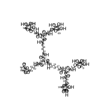 C[C@@H]1O[C@@H](OCCNC(=O)CN(CC(=O)NCCCCCCNC(=O)CN(CC(=O)NCCCCCCNC(=O)CN(CC(=O)NCCO[C@@H]2O[C@@H](C)[C@@H](O)[C@@H](O)[C@@H]2O)CC(=O)NCCO[C@@H]2O[C@@H](C)[C@@H](O)[C@@H](O)[C@@H]2O)CC(=O)NCCCCCC(=O)ON2C(=O)CCC2=O)CC(=O)NCCO[C@@H]2O[C@@H](C)[C@@H](O)[C@@H](O)[C@@H]2O)[C@@H](O)[C@H](O)[C@@H]1O